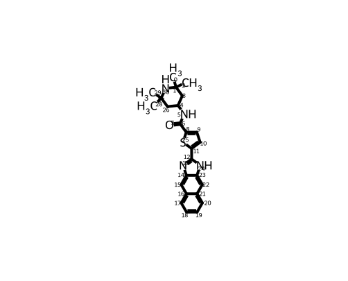 CC1(C)CC(NC(=O)c2ccc(-c3nc4cc5ccccc5cc4[nH]3)s2)CC(C)(C)N1